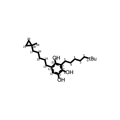 CC(C)(C)CCCCCc1c(O)c(O)cc(CCCCCC2(C)CC2)c1O